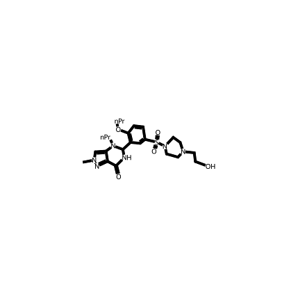 CCCOc1ccc(S(=O)(=O)N2CCN(CCO)CC2)cc1C1NC(=O)c2nn(C)cc2N1CCC